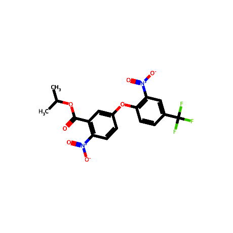 CC(C)OC(=O)c1cc(Oc2ccc(C(F)(F)F)cc2[N+](=O)[O-])ccc1[N+](=O)[O-]